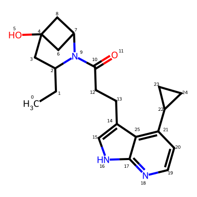 CCC1CC2(O)CC(C2)N1C(=O)CCc1c[nH]c2nccc(C3CC3)c12